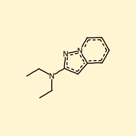 CCN(CC)c1cc2ccccn2n1